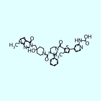 Cc1cc(-c2ccnc(NC(=O)O)c2)sc1C(=O)N1CC[C@@H](C(=O)N2CCC(O)(Cn3cnc4c(ccn4C)c3=O)CC2)[C@H](c2ccccc2)C1